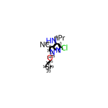 CCCNc1cc(Cl)nc2c1c(C#N)cn2COCC[Si](C)(C)C